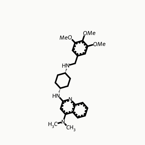 COc1cc(CN[C@H]2CC[C@@H](Nc3cc(N(C)C)c4ccccc4n3)CC2)cc(OC)c1OC